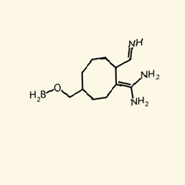 BOCC1CCCC(C=N)C(=C(N)N)CC1